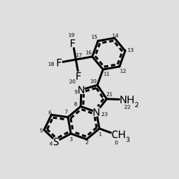 Cc1cc2sccc2c2nc(-c3ccccc3C(F)(F)F)c(N)n12